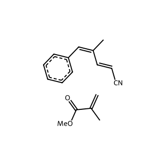 C=C(C)C(=O)OC.CC(C=CC#N)=Cc1ccccc1